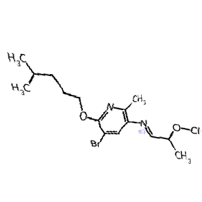 COC(C)/C=N/c1cc(Br)c(OCCCC(C)C)nc1C